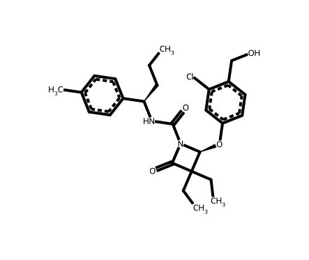 CCC[C@@H](NC(=O)N1C(=O)C(CC)(CC)[C@@H]1Oc1ccc(CO)c(Cl)c1)c1ccc(C)cc1